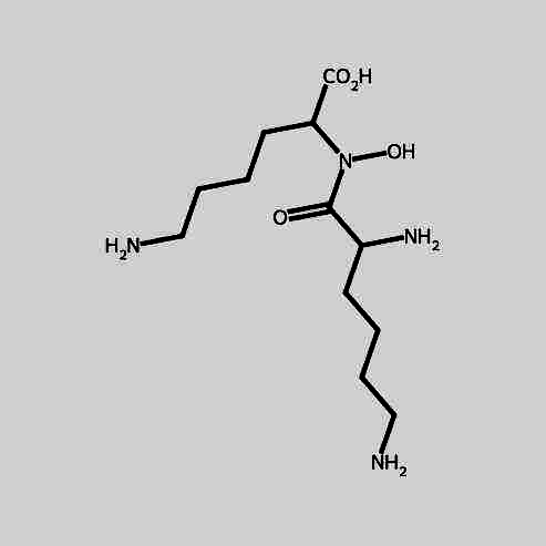 NCCCCC(N)C(=O)N(O)C(CCCCN)C(=O)O